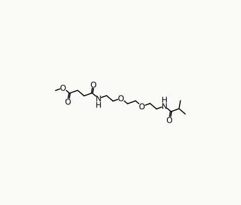 COC(=O)CCC(=O)NCCOCCOCCNC(=O)C(C)C